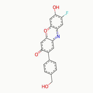 O=c1cc2oc3cc(O)c(F)cc3nc-2cc1-c1ccc(CO)cc1